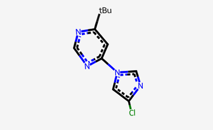 CC(C)(C)c1cc(-n2cnc(Cl)c2)ncn1